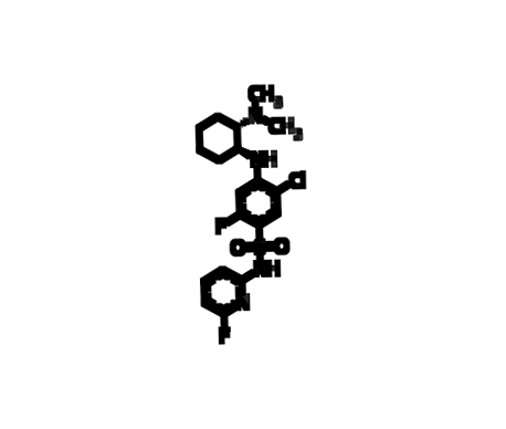 CN(C)[C@H]1CCCC[C@@H]1Nc1cc(F)c(S(=O)(=O)Nc2cccc(F)n2)cc1Cl